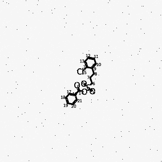 O=C(OS(=O)(=O)CCCc1ccccc1Cl)c1ccccc1